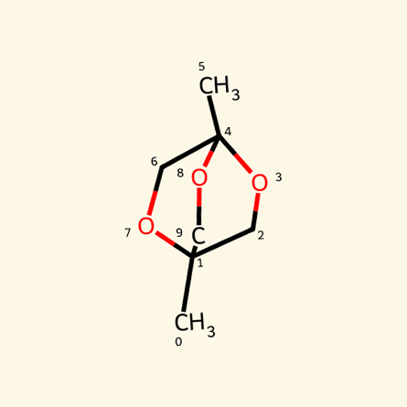 CC12COC(C)(CO1)OC2